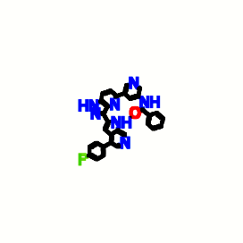 O=C(Nc1cncc(-c2ccc3[nH]nc(-c4cc5c(-c6ccc(F)cc6)cncc5[nH]4)c3n2)c1)c1ccccc1